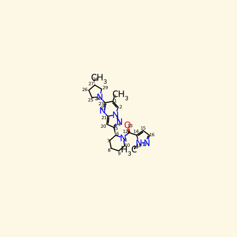 Cc1cn2nc([C@@H]3CCCCN3C(=O)c3ccnn3C)cc2nc1N1CC[C@H](C)C1